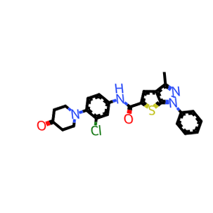 Cc1nn(-c2ccccc2)c2sc(C(=O)Nc3ccc(N4CCC(=O)CC4)c(Cl)c3)cc12